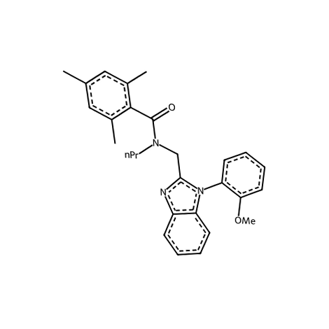 CCCN(Cc1nc2ccccc2n1-c1ccccc1OC)C(=O)c1c(C)cc(C)cc1C